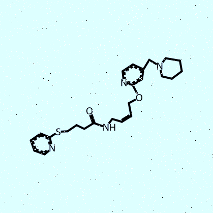 O=C(CCCSc1ccccn1)NC/C=C\COc1cc(CN2CCCCC2)ccn1